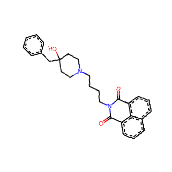 O=C1c2cccc3cccc(c23)C(=O)N1CCCCN1CCC(O)(Cc2ccccc2)CC1